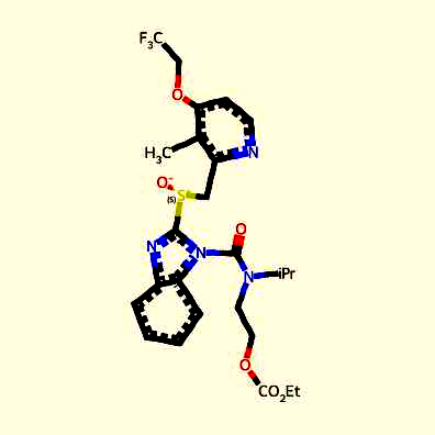 CCOC(=O)OCCN(C(=O)n1c([S@+]([O-])Cc2nccc(OCC(F)(F)F)c2C)nc2ccccc21)C(C)C